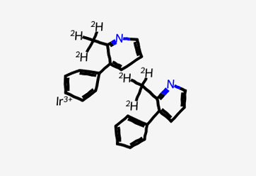 [2H]C([2H])([2H])c1ncccc1-c1ccccc1.[2H]C([2H])([2H])c1ncccc1-c1ccccc1.[Ir+3]